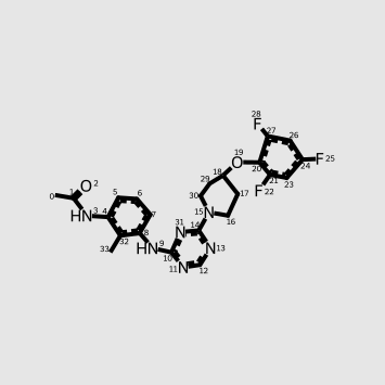 CC(=O)Nc1cccc(Nc2ncnc(N3CCC(Oc4c(F)cc(F)cc4F)CC3)n2)c1C